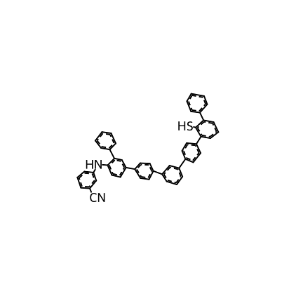 N#Cc1cccc(Nc2ccc(-c3ccc(-c4cccc(-c5ccc(-c6cccc(-c7ccccc7)c6S)cc5)c4)cc3)cc2-c2ccccc2)c1